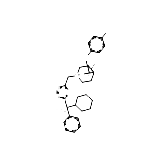 O[C@](c1ccccc1)(c1nnc(C[N+]23CCC(CC2)[C@@H](Oc2ccc(F)cc2)C3)o1)C1CCCCC1